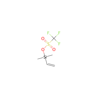 C=C[Si](C)(C)OS(=O)(=O)C(F)(F)F